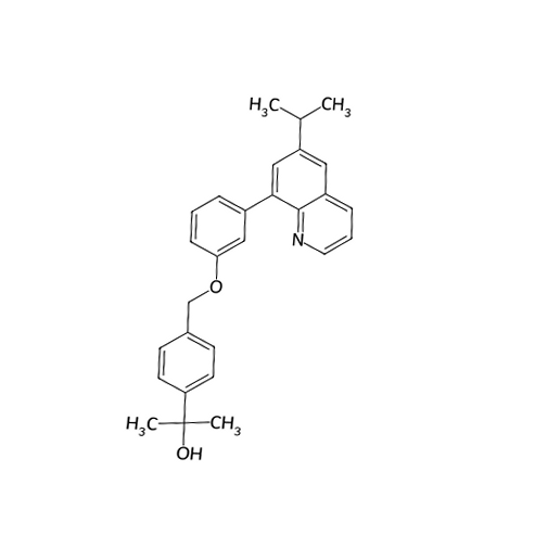 CC(C)c1cc(-c2cccc(OCc3ccc(C(C)(C)O)cc3)c2)c2ncccc2c1